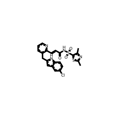 Cc1nc(C)c(S(=O)(=O)NC(=O)C=Cc2ncccc2Cc2cc3cc(Cl)ccc3[nH]2)s1